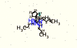 CCCC[NH][Zr]([NH]CCCC)([NH]CCCC)([GeH2][F])[C]1=CC=CC1